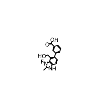 CC1Nc2ccc(-c3cccc(C(=O)O)c3)c(CO)c2N1F